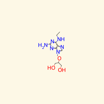 CCNc1nc(N)nc2c1ncn2COC(CO)CO